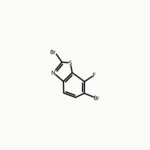 Fc1c(Br)ccc2nc(Br)sc12